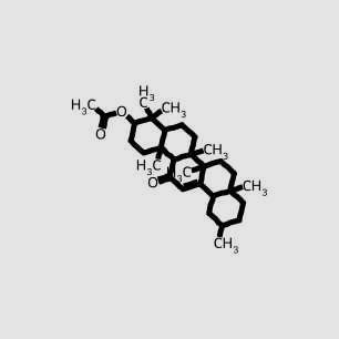 CC(=O)OC1CCC2(C)C(CCC3(C)C2C(=O)C=C2C4CC(C)CCC4(C)CCC23C)C1(C)C